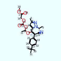 CCn1nc(C)cc1/C(OC(C)OC(=O)OCC(=O)OC)=C(\C#N)c1ccc(C(C)(C)C)cc1